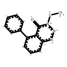 O=c1c2c(-c3ccccc3)cccc2nnn1OC(F)(F)F